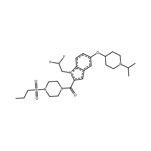 CCCS(=O)(=O)N1CCN(C(=O)c2cc3cc(OC4CCN(C(C)C)CC4)ccc3n2CC(F)F)CC1